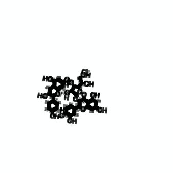 O=c1c(O[C@@H]2O[C@H]([C@H](O)CO)[C@H](O)[C@H]2O)c(-c2ccc(O)c(O)c2)oc2cc(O)cc(O)c12.Oc1ccc(-c2[o+]c3cc(O)cc(O)c3cc2O)cc1.[Cl-]